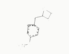 O=[N+]([O-])Sc1ccc(CC2CCO2)cc1